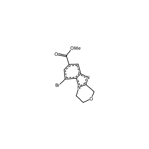 COC(=O)c1cc(Br)c2c(c1)nc1n2CCOC1